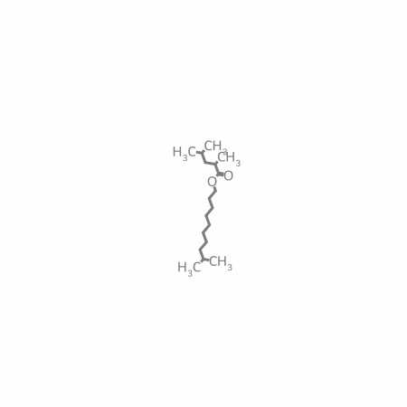 CC(C)CCCCCCCCOC(=O)C(C)CC(C)C